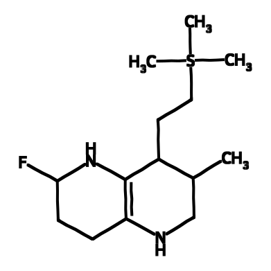 CC1CNC2=C(NC(F)CC2)C1CCS(C)(C)C